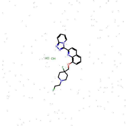 Cl.Cl.FCCN1CCC(F)(COc2cccc3ccc(-c4nnc5ccccn45)nc23)CC1